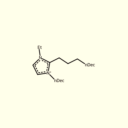 CCCCCCCCCCCCCc1n(CC)cc[n+]1CCCCCCCCCC